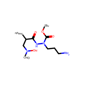 CCCCCC(CN(O)C=O)C(=O)NN(CCCN)C(=O)OC(C)(C)C